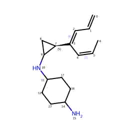 C=C/C=C(\C=C/C)[C@@H]1CC1NC1CCC(N)CC1